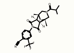 CC(C)C(=O)N1C[C@@]2(C)O[C@@](C)(C1)[C@@H]1C(=O)N(c3ccc(C#N)c(C(F)(F)F)c3)C(=O)[C@@H]12